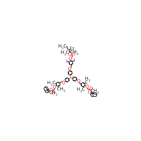 C=CCC(CC)C(C)(C)OC(=O)COc1c(I)cc(COc2ccc([S+](c3ccc(OCc4cc(C)c(OCC(=O)OC5(C)C6CC7CC(C6)CC5C7)c(C)c4)cc3)c3ccc(OCc4cc(C)c(OCC(=O)OC5(C)C6CC7CC(C6)CC5C7)c(C)c4)cc3)cc2)cc1I